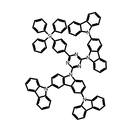 c1ccc([Si](c2ccccc2)(c2ccccc2)c2ccc(-c3nc(-n4c5ccc(-n6c7ccccc7c7ccccc76)cc5c5cc(-n6c7ccccc7c7ccccc76)ccc54)nc(-n4c5ccccc5c5ccc(-n6c7ccccc7c7ccccc76)cc54)n3)cc2)cc1